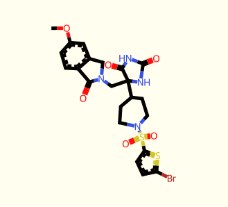 COc1ccc2c(c1)CN(CC1(C3CCN(S(=O)(=O)c4ccc(Br)s4)CC3)NC(=O)NC1=O)C2=O